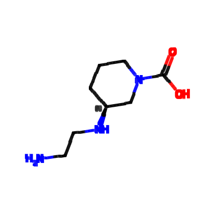 NCCN[C@H]1CCCN(C(=O)O)C1